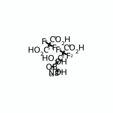 O=C(O)C(F)(F)C(=O)O.O=C(O)C(F)(F)C(=O)O.[Na+].[O-]B(O)O